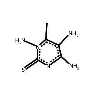 Cc1c(N)c(N)nc(=S)n1N